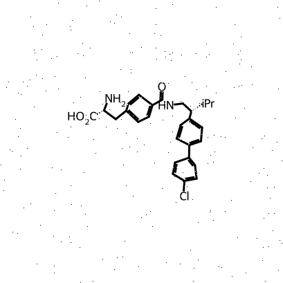 CC(C)[C@@H](CNC(=O)c1ccc(C[C@@H](N)C(=O)O)cc1)c1ccc(-c2ccc(Cl)cc2)cc1